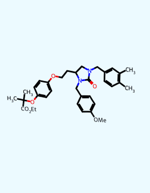 CCOC(=O)C(C)(C)Oc1ccc(OCCC2CN(Cc3ccc(C)c(C)c3)C(=O)N2Cc2ccc(OC)cc2)cc1